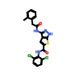 Cc1ccccc1CC(=O)Nc1n[nH]c2sc(C(=O)Nc3c(Cl)cccc3Cl)cc12